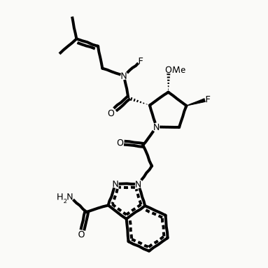 CO[C@H]1[C@@H](C(=O)N(F)CC=C(C)C)N(C(=O)Cn2nc(C(N)=O)c3ccccc32)C[C@@H]1F